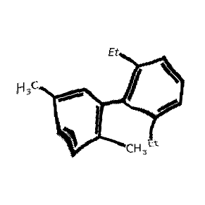 CCc1cccc(CC)c1-c1cc(C)ccc1C